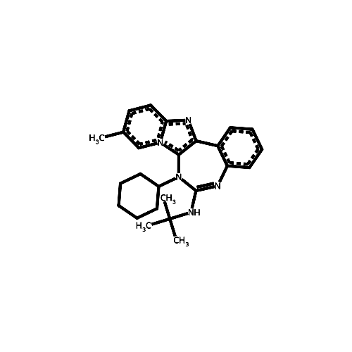 Cc1ccc2nc3c(n2c1)N(C1CCCCC1)C(NC(C)(C)C)=Nc1ccccc1-3